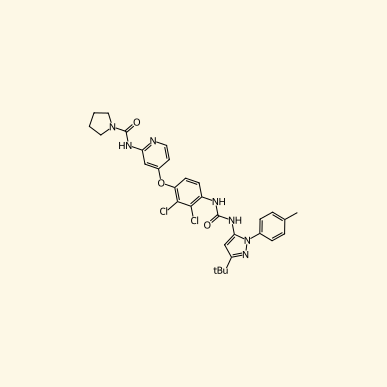 Cc1ccc(-n2nc(C(C)(C)C)cc2NC(=O)Nc2ccc(Oc3ccnc(NC(=O)N4CCCC4)c3)c(Cl)c2Cl)cc1